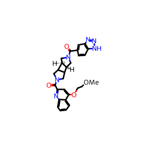 COCCOc1cc(C(=O)N2CC3C(C2)[C@@H]2CN(C(=O)c4ccc5[nH]nnc5c4)C[C@H]32)nc2ccccc12